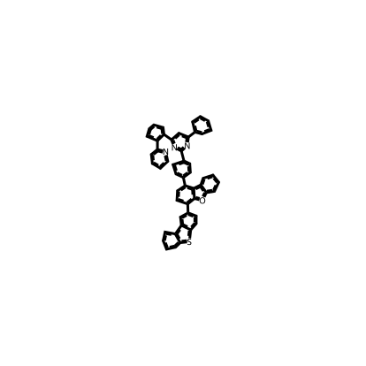 c1ccc(-c2cc(-c3ccccc3-c3ccccn3)nc(-c3ccc(-c4ccc(-c5ccc6sc7ccccc7c6c5)c5oc6ccccc6c45)cc3)n2)cc1